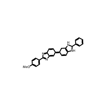 COc1ccc(C2=Nc3cc(=C4C=CC5=C(C4)NC(c4ccccc4)N5)ccc3=N2)cc1